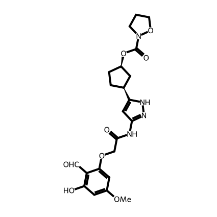 COc1cc(O)c(C=O)c(OCC(=O)Nc2cc([C@H]3CC[C@@H](OC(=O)N4CCCO4)C3)[nH]n2)c1